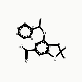 CC(Oc1cc(C(=O)O)cc2c1CC(C)(C)O2)c1ccccn1